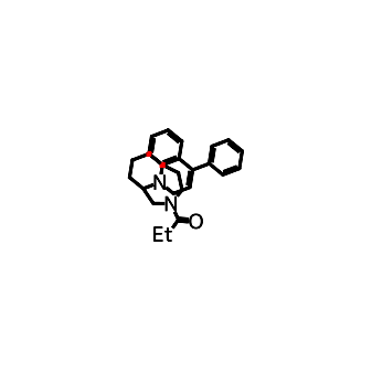 CCC(=O)N1CCC2CCCC(C1)N2CC=C(c1ccccc1)c1ccccc1